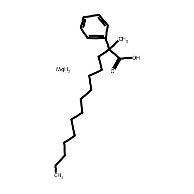 CCCCCCCCCCCCC(C)(C(=O)O)c1ccccc1.[MgH2]